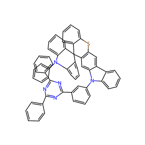 c1ccc(-c2nc(-c3ccccc3)nc(-c3cccc(-n4c5ccccc5c5cc6c(cc54)C4(c5ccccc5S6)c5ccccc5N(c5ccccc5)c5ccccc54)c3)n2)cc1